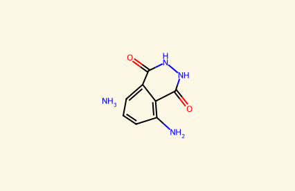 N.Nc1cccc2c(=O)[nH][nH]c(=O)c12